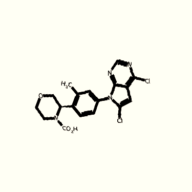 Cc1cc(-n2c(Cl)cc3c(Cl)ncnc32)ccc1[C@@H]1COCCN1C(=O)O